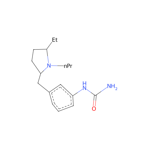 CCCN1C(CC)CCC1Cc1cccc(NC(N)=O)c1